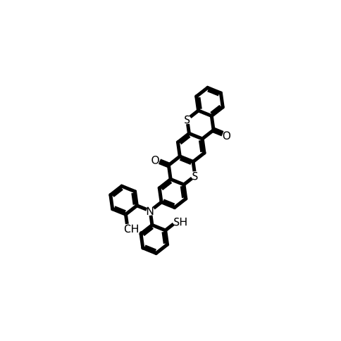 Cc1ccccc1N(c1ccc2sc3cc4c(=O)c5ccccc5sc4cc3c(=O)c2c1)c1ccccc1S